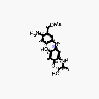 COCc1cc(/N=C2/C=C(NC(C)CO)C(=O)C=C2O)ccc1N